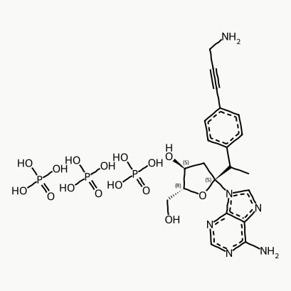 CC(c1ccc(C#CCN)cc1)[C@]1(n2cnc3c(N)ncnc32)C[C@H](O)[C@@H](CO)O1.O=P(O)(O)O.O=P(O)(O)O.O=P(O)(O)O